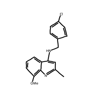 COc1cccc2c(NCc3ccc(Cl)cc3)cc(C)nc12